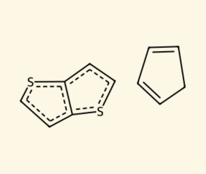 C1=CCC=C1.c1cc2sccc2s1